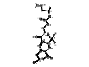 Cc1cc(Br)cc2c1OC(C(F)(F)F)C(C(=O)OCOC(=O)OC(C)CON)=C2